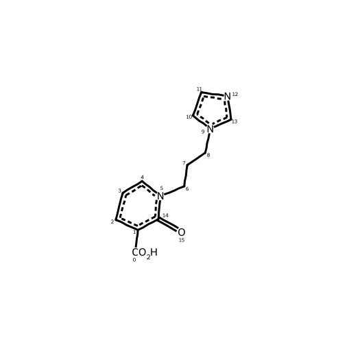 O=C(O)c1cccn(CCCn2ccnc2)c1=O